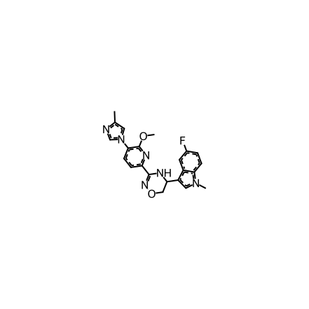 COc1nc(C2=NOCC(c3cn(C)c4ccc(F)cc34)N2)ccc1-n1cnc(C)c1